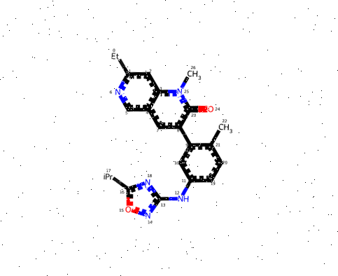 CCc1cc2c(cn1)cc(-c1cc(Nc3noc(C(C)C)n3)ccc1C)c(=O)n2C